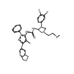 COCCN1CC(NC(=O)Nc2c(C)c(-c3cnc4c(c3)COC4)nn2-c2ccccc2)C(c2ccc(F)c(F)c2)C1